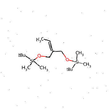 CC=C(CO[Si](C)(C)C(C)(C)C)CO[Si](C)(C)C(C)(C)C